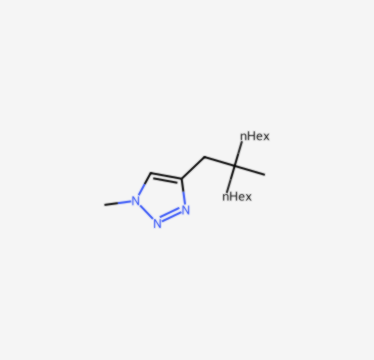 CCCCCCC(C)(CCCCCC)Cc1cn(C)nn1